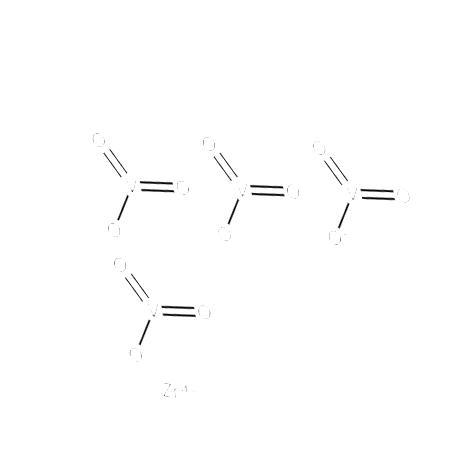 [O]=[V](=[O])[O-].[O]=[V](=[O])[O-].[O]=[V](=[O])[O-].[O]=[V](=[O])[O-].[Zr+4]